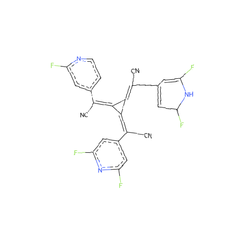 N#CC(C1=CC(F)NC(F)=C1)=C1C(=C(/C#N)c2ccnc(F)c2)/C1=C(/C#N)c1cc(F)nc(F)c1